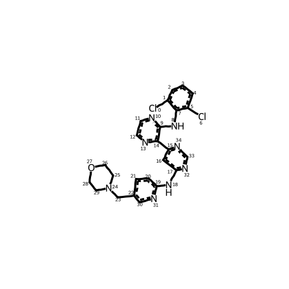 Clc1cccc(Cl)c1Nc1nccnc1-c1cc(Nc2ccc(CN3CCOCC3)cn2)ncn1